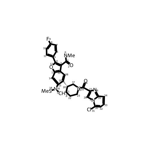 CNC(=O)c1c(-c2ccc(F)cc2)oc2cc(N(C)SC)c([C@H]3CCCN(C(=O)c4cn5c(Cl)cccc5n4)C3)cc12